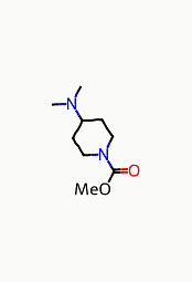 COC(=O)N1CCC(N(C)C)CC1